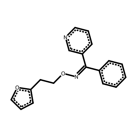 c1ccc(C(=NOCCc2ccco2)c2cccnc2)cc1